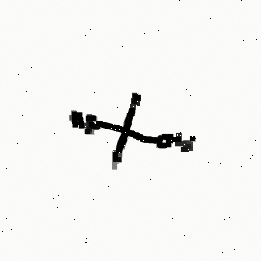 [CH2]C([CH2])(F)F